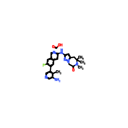 Cc1c(N)cncc1-c1cc2cc(Nc3cc4n(n3)CC(=O)N(C)C(C)(C)C4)ncc2cc1F.O=CO